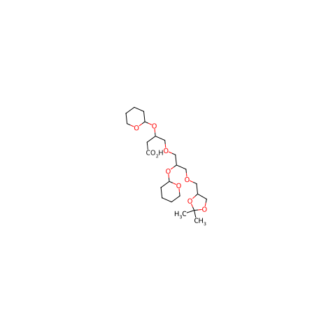 CC1(C)OCC(COCC(COCC(CC(=O)O)OC2CCCCO2)OC2CCCCO2)O1